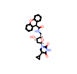 O=C(NC[C@H]1O[C@@H](n2cc(C3CC3)c(=O)[nH]c2=O)C[C@@H]1O)C1c2ccccc2Oc2ccccc21